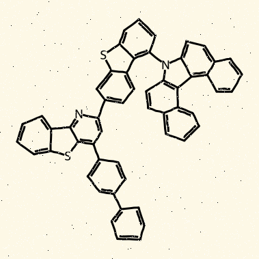 c1ccc(-c2ccc(-c3cc(-c4ccc5c(c4)sc4cccc(-n6c7ccc8ccccc8c7c7c8ccccc8ccc76)c45)nc4c3sc3ccccc34)cc2)cc1